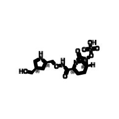 O=C(NOC[C@H]1C[C@@H](CO)CN1)[C@@H]1CC[C@@H]2CN1C(=O)N2OS(=O)(=O)O